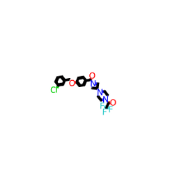 O=C(c1ccc(OCc2cccc(Cl)c2)cc1)N1CC(N2CCN(C(=O)C(F)(F)F)CC2)C1